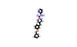 O=C(Nc1cccnn1)N1CCC(=Cc2cccc(OCC3CC=CCC3)c2)CC1